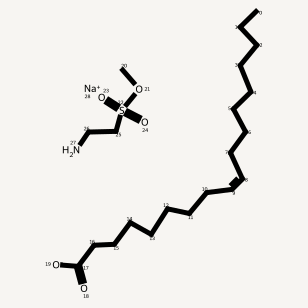 CCCCCCCC/C=C\CCCCCCCC(=O)[O-].COS(=O)(=O)CCN.[Na+]